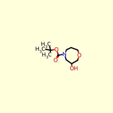 CC(C)(C)OC(=O)N1CCCOCC(O)C1